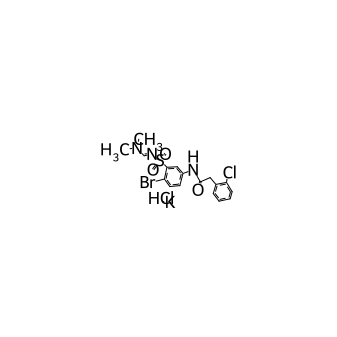 CN(C)C=NS(=O)(=O)c1cc(NC(=O)Cc2ccccc2Cl)ccc1Br.Cl.[K]